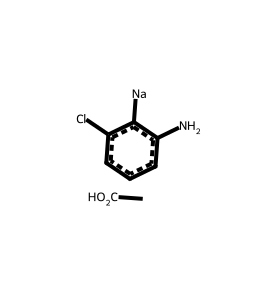 CC(=O)O.Nc1cccc(Cl)[c]1[Na]